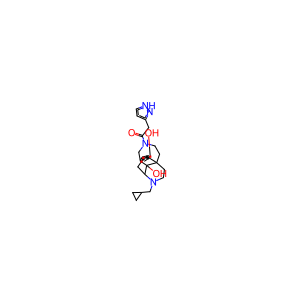 O=C(Cc1cc[nH]n1)N1CCC23CCN(CC4CC4)C(Cc4ccc(O)cc42)C3(O)CC1